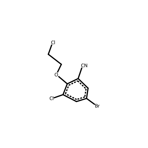 N#Cc1cc(Br)cc(Cl)c1OCCCl